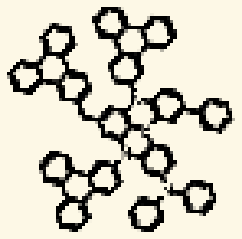 c1ccc(-c2ccc3c(c2)B2c4ccc(N(c5ccccc5)c5ccccc5)cc4N(c4ccc5c6ccccc6c6ccccc6c5c4)c4cc(Cc5ccc6c7ccccc7c7ccccc7c6c5)cc(c42)N3c2ccc3c4ccccc4c4ccccc4c3c2)cc1